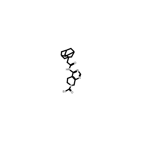 CCC(=O)N1CCc2c(ncnc2NC(=O)CC23CC4CC(CC(C4)C2)C3)C1